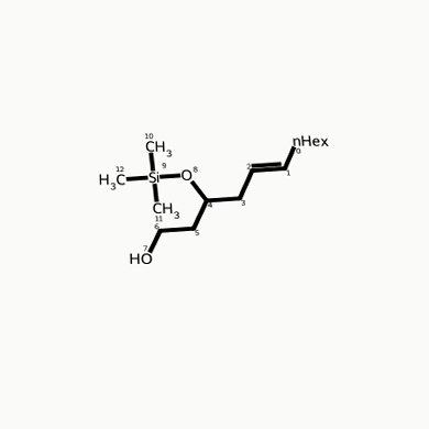 CCCCCCC=CCC(CCO)O[Si](C)(C)C